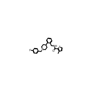 Cc1ccsc1C(=O)NCc1ccccc1C1CCN(Cc2ccc(F)cc2)CC1